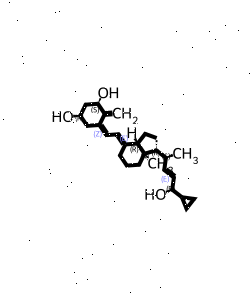 C=C1/C(=C\C=C2/CCC[C@]3(C)[C@@H]([C@@H](C)/C=C/[C@H](O)C4CC4)CC[C@@H]23)C[C@@H](O)C[C@@H]1O